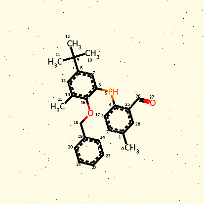 Cc1ccc(Pc2cc(C(C)(C)C)cc(C)c2OCc2ccccc2)c(C=O)c1